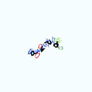 Cn1cnc2cc(C(=O)NC3(C(=O)NCc4ccc(Nc5ccc(Cl)cc5C(F)(F)F)cn4)CC3)ccc21